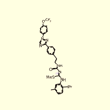 CS/C(=N\C(=O)NCCc1ccc(-c2ncn(-c3ccc(OC(F)(F)F)cc3)n2)cc1)Nc1cc(C)ccc1C(C)C